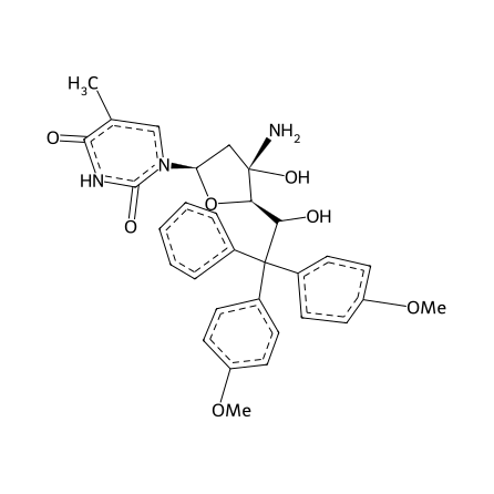 COc1ccc(C(c2ccccc2)(c2ccc(OC)cc2)C(O)[C@H]2O[C@@H](n3cc(C)c(=O)[nH]c3=O)C[C@]2(N)O)cc1